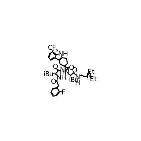 CCC(C)[C@H](NC(=O)Cc1ccccc1F)C(=O)N[C@]1(C(=O)NC(C(=O)NCCN(CC)CC)[C@@H](C)CC)CCc2[nH]c3c(C(F)(F)F)cccc3c2C1